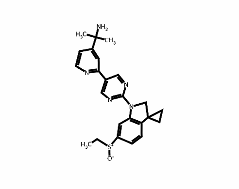 CC[S+]([O-])c1ccc2c(c1)N(c1ncc(-c3cc(C(C)(C)N)ccn3)cn1)CC21CC1